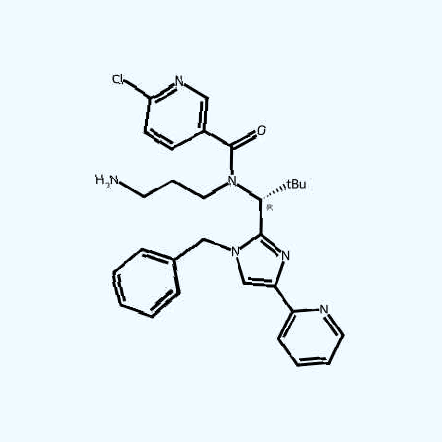 CC(C)(C)[C@H](c1nc(-c2ccccn2)cn1Cc1ccccc1)N(CCCN)C(=O)c1ccc(Cl)nc1